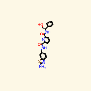 Nc1nc2ccc(CNC(=O)c3cccc(C(=O)N[C@@H](CO)c4ccccc4)n3)cc2s1